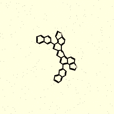 c1ccc2cc(-c3cc4cc5cc(-c6ccc7ccccc7c6)c6c7ccsc7ccc6c5cc4c4ccc5sccc5c34)ccc2c1